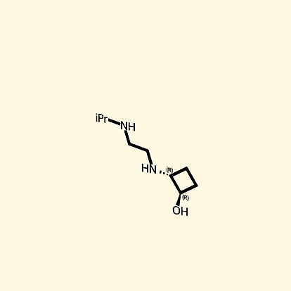 CC(C)NCCN[C@@H]1CC[C@H]1O